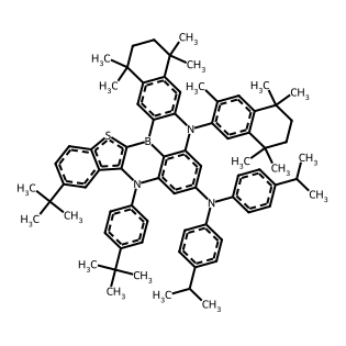 Cc1cc2c(cc1N1c3cc4c(cc3B3c5sc6ccc(C(C)(C)C)cc6c5N(c5ccc(C(C)(C)C)cc5)c5cc(N(c6ccc(C(C)C)cc6)c6ccc(C(C)C)cc6)cc1c53)C(C)(C)CCC4(C)C)C(C)(C)CCC2(C)C